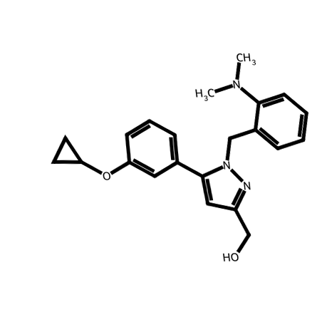 CN(C)c1ccccc1Cn1nc(CO)cc1-c1cccc(OC2CC2)c1